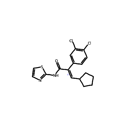 O=C(Nc1nccs1)/C(=C/C1CCCC1)c1ccc(Cl)c(Cl)c1